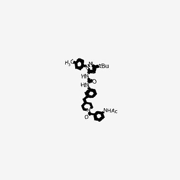 CC(=O)Nc1cccc(C(=O)N2CCC(Cc3cccc(NC(=O)Nc4cc(C(C)(C)C)nn4-c4ccc(C)cc4)c3)CC2)c1